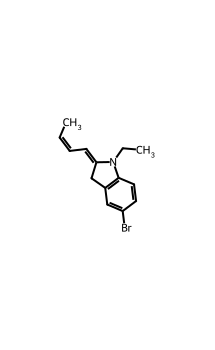 C/C=C\C=C1/Cc2cc(Br)ccc2N1CC